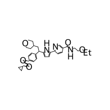 CCOCCNC(=O)c1ccc(-c2ccc(C(CC3CCOCC3)c3ccc(S(=O)(=O)C4CC4)cc3)[nH]2)nc1